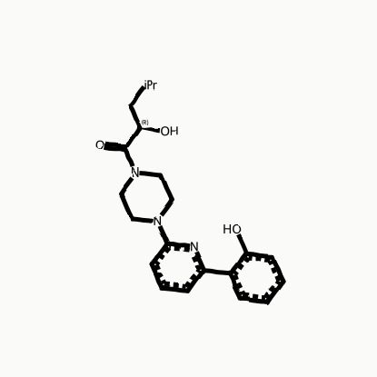 CC(C)C[C@@H](O)C(=O)N1CCN(c2cccc(-c3ccccc3O)n2)CC1